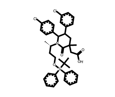 C[C@@H](CCO[Si](c1ccccc1)(c1ccccc1)C(C)(C)C)N1C(=O)C(C)(CC(=O)O)CC(c2cccc(Cl)c2)C1c1ccc(Cl)cc1